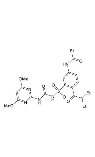 CCC(=O)Nc1ccc(C(=O)N(CC)CC)c(S(=O)(=O)NC(=O)Nc2nc(OC)cc(OC)n2)c1